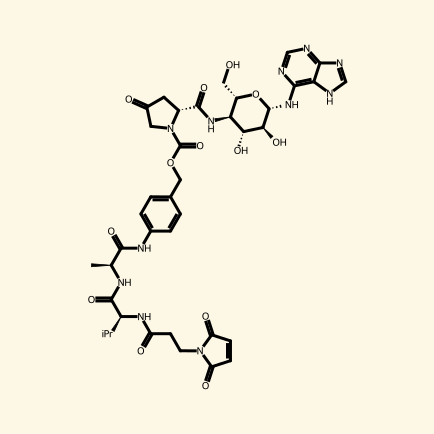 CC(C)[C@H](NC(=O)CCN1C(=O)C=CC1=O)C(=O)N[C@@H](C)C(=O)Nc1ccc(COC(=O)N2CC(=O)C[C@@H]2C(=O)N[C@@H]2[C@@H](O)[C@H](O)[C@@H](Nc3ncnc4nc[nH]c34)O[C@H]2CO)cc1